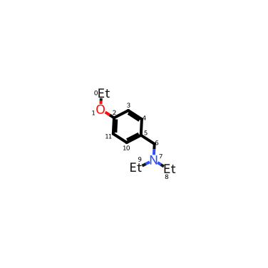 CCOc1ccc(CN(CC)CC)cc1